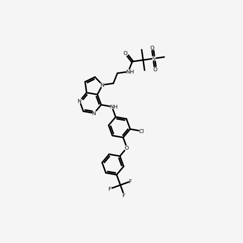 CC(C)(C(=O)NCCn1ccc2ncnc(Nc3ccc(Oc4cccc(C(F)(F)F)c4)c(Cl)c3)c21)S(C)(=O)=O